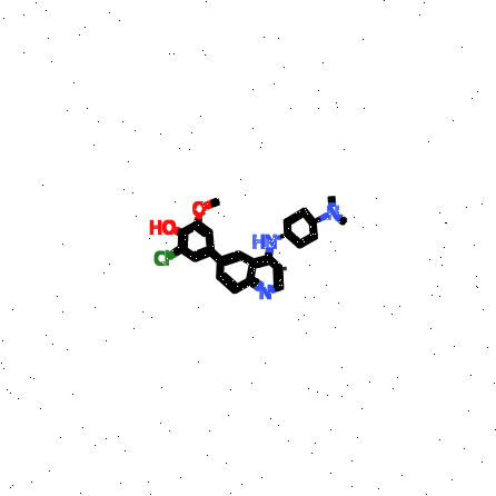 COc1cc(-c2ccc3nc[c]c(N[C@H]4CC[C@H](N(C)C)CC4)c3c2)cc(Cl)c1O